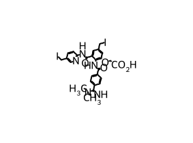 CN(C)C(=N)c1ccc(C(=O)Nc2c(OCC(=O)O)cc(CI)cc2C(=O)Nc2ccc(CI)cn2)cc1